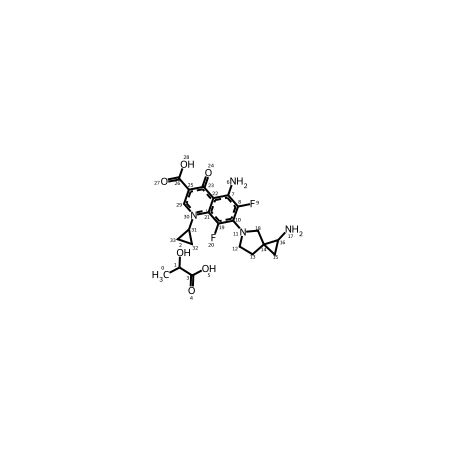 CC(O)C(=O)O.Nc1c(F)c(N2CCC3(CC3N)C2)c(F)c2c1c(=O)c(C(=O)O)cn2C1CC1